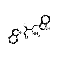 N[C@H](Cc1c[nH]c2ccccc12)C(=O)C(=O)n1ccc2ccccc21